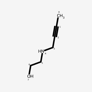 CC#CCNCCO